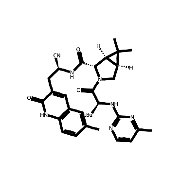 Cc1ccc2[nH]c(=O)c(C[C@@H](C#N)NC(=O)[C@@H]3[C@@H]4[C@H](CN3C(=O)[C@@H](Nc3nccc(C)n3)C(C)(C)C)C4(C)C)cc2c1